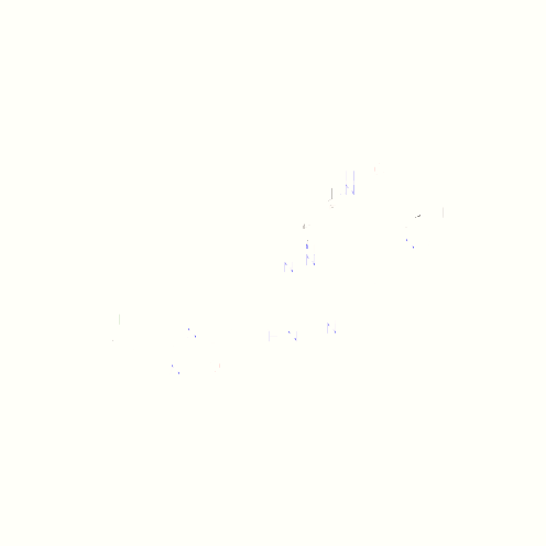 C[C@@H]1CC(=O)N[C@@H]2CCC[C@H](C2)n2nc(-c3ccc(C(=O)Nc4cc(C(F)(F)F)ccn4)cc3)c3c(N)ncc(c32)/C=C/CN1C